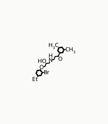 CCc1ccc(OCC(O)CNCCC(=O)c2cc(C)cc(C)c2)c(Br)c1